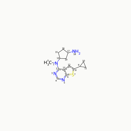 CN(c1ncnc2sc(C3CC3)cc12)C1CCC(N)C1